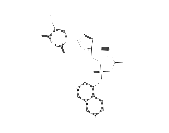 C#C[C@@]1(COP(=O)(NC(C)C(=O)O)Oc2cccc3ccccc23)C=C[C@H](n2cc(C)c(=O)[nH]c2=O)O1